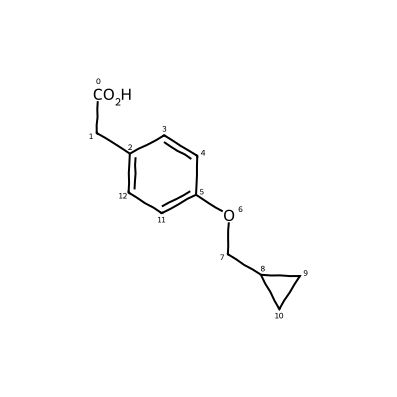 O=C(O)Cc1ccc(OCC2CC2)cc1